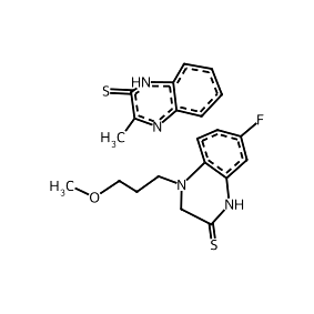 COCCCN1CC(=S)Nc2cc(F)ccc21.Cc1nc2ccccc2[nH]c1=S